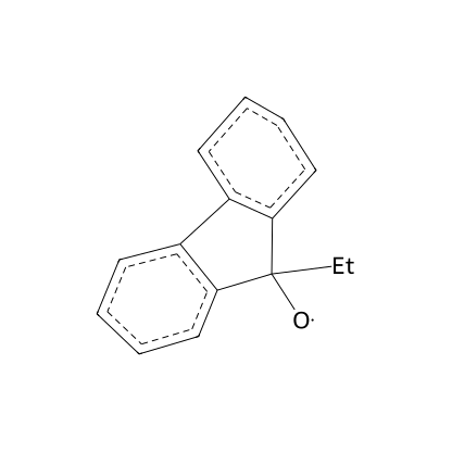 CCC1([O])c2ccccc2-c2ccccc21